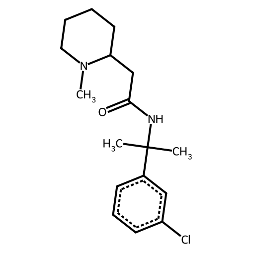 CN1CCCCC1CC(=O)NC(C)(C)c1cccc(Cl)c1